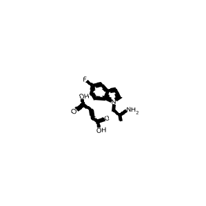 CC(N)Cn1ccc2cc(F)ccc21.O=C(O)/C=C/C(=O)O